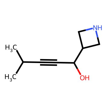 CC(C)C#CC(O)C1CNC1